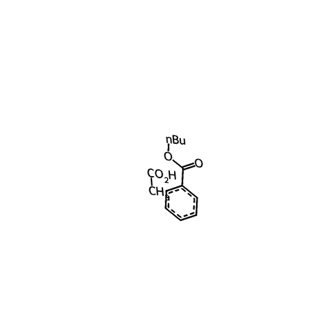 CC(=O)O.CCCCOC(=O)c1ccccc1